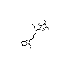 CCOC(/C=C/C=C1\Sc2ccccc2N1CC)=C1/SC(=S)N(CC)C1=O